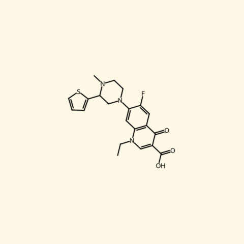 CCn1cc(C(=O)O)c(=O)c2cc(F)c(N3CCN(C)C(c4cccs4)C3)cc21